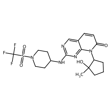 CC1(O)CCCC1n1c(=O)ccc2cnc(NC3CCN(S(=O)(=O)C(F)(F)F)CC3)nc21